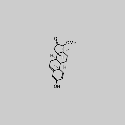 COC1C(=O)C[C@H]2[C@@H]3CC=C4C=C(O)C=C[C@]4(C)[C@@H]3CC[C@]12C